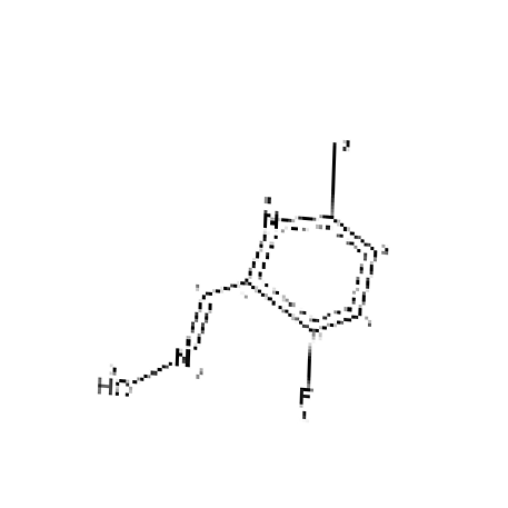 Cc1ccc(F)c(/C=N/O)n1